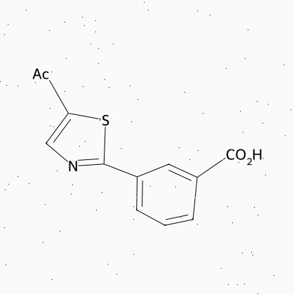 CC(=O)c1cnc(-c2cccc(C(=O)O)c2)s1